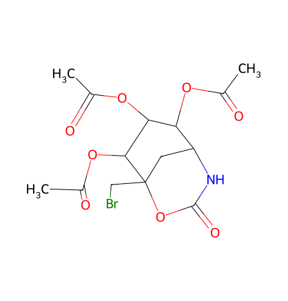 CC(=O)OC1C2CC(CBr)(OC(=O)N2)C(OC(C)=O)C1OC(C)=O